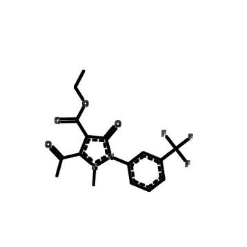 CCOC(=O)c1c(C(C)=O)n(C)n(-c2cccc(C(F)(F)F)c2)c1=O